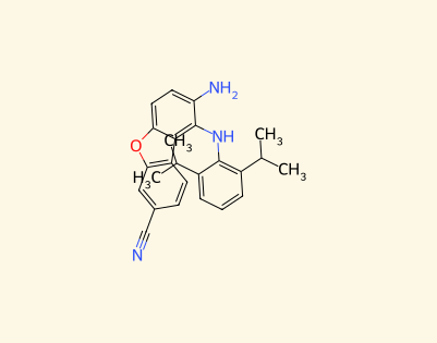 CC(C)c1cccc(C(C)C)c1Nc1c(N)ccc2oc3cc(C#N)ccc3c12